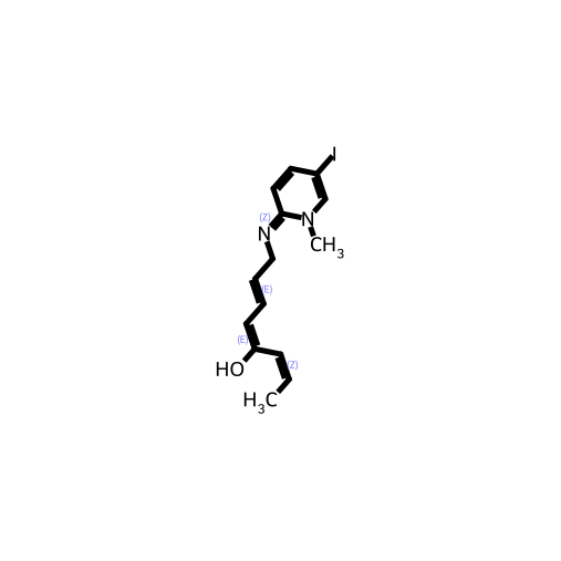 C\C=C/C(O)=C\C=C\C/N=c1/ccc(I)cn1C